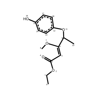 CCOC(=O)/C=C(\OC)C(C)Oc1ccc(O)cc1